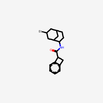 CCC1CC2CCC(NC(=O)C3Cc4ccccc43)C(C1)C2